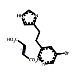 Brc1cncc(CCc2c[nH]cn2)c1.O=C(O)/C=C/C(=O)O